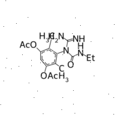 CCNC(=O)N(C(=N)N)c1c(C)c(OC(C)=O)cc(OC(C)=O)c1C